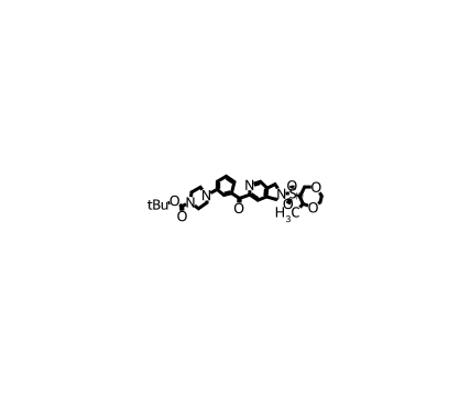 CC1OCCOC[C@@H]1S(=O)(=O)N1Cc2cnc(C(=O)c3cccc(N4CCN(C(=O)OC(C)(C)C)CC4)c3)cc2C1